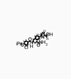 CC(C)Oc1ccc(C(=O)N[C@H](CCC(N)=O)Cc2ccc(-c3cn(C)c(C(C)O)n3)cc2)cc1Cl